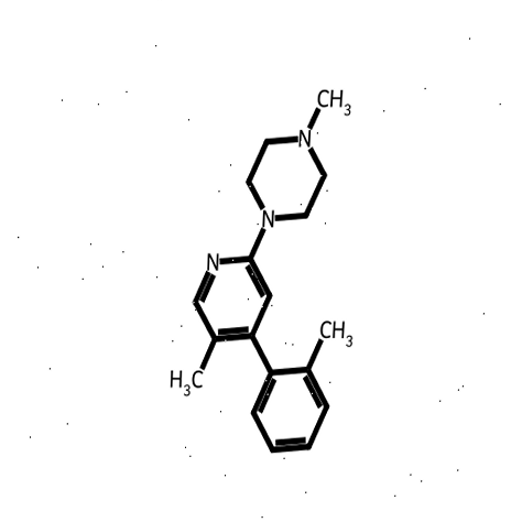 Cc1ccccc1-c1cc(N2CCN(C)CC2)ncc1C